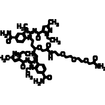 CCn1nc(C)cc1C(=O)N=c1n(C)c2cc(C(N)=O)ccc2n1CCC(CCn1c(=NC(=O)c2cc(C)nn2CC)n(C)c2cc(C(N)=O)ccc21)OCC(=O)NCCOCCOCCOCC(N)=O